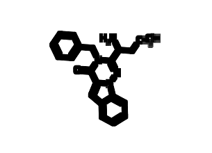 CCC(N)c1nn2c(cc3ccccc32)c(=O)n1Cc1ccccc1.Cl